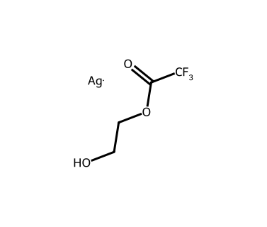 O=C(OCCO)C(F)(F)F.[Ag]